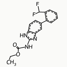 CCOC(=O)Nc1nc2cc(-c3ccccc3C(F)F)ccc2[nH]1